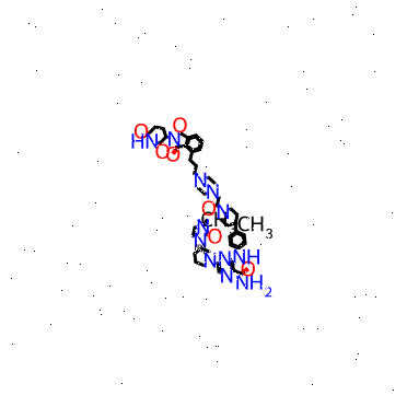 CN1CCN([C@@H]2CCCN(c3cnc(C(N)=O)c(Nc4ccc(C5(C)CCN(C(=O)CN6CCN(CCCc7cccc8c7C(=O)N(C7CCC(=O)NC7=O)C8=O)CC6)CC5)cc4)n3)C2)C1=O